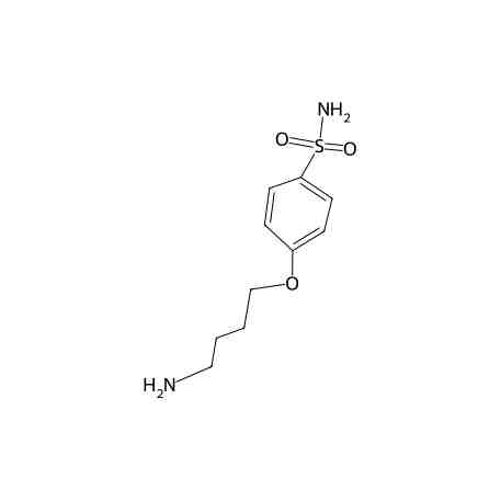 NCCCCOc1ccc(S(N)(=O)=O)cc1